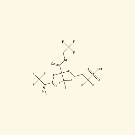 C=C(C(=O)OC(OCCC(F)(F)S(=O)(=O)O)(C(=O)NCC(F)(F)F)C(F)(F)F)C(F)(F)F